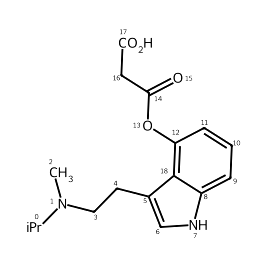 CC(C)N(C)CCc1c[nH]c2cccc(OC(=O)CC(=O)O)c12